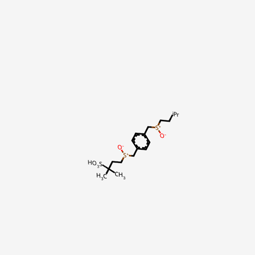 CC(C)CC[S+]([O-])Cc1ccc(C[S+]([O-])CCC(C)(C)S(=O)(=O)O)cc1